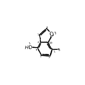 Cc1ccc(O)c2ccoc12